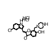 Cl.Cl.O=C1C(=Cc2c[nH]c3ccc(Cl)cc23)Oc2c1ccc(O)c2CN1CCNCC1